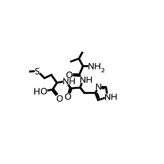 CSCCC(NC(=O)C(Cc1c[nH]cn1)NC(=O)C(N)C(C)C)C(=O)O